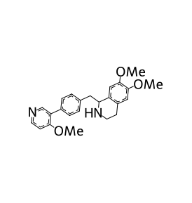 COc1cc2c(cc1OC)C(Cc1ccc(-c3cnccc3OC)cc1)NCC2